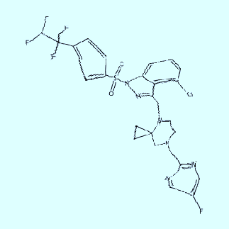 O=S(=O)(c1ccc(C(F)(F)C(F)F)cc1)n1nc(N2CCN(c3ncc(F)cn3)CC23CC3)c2c(Cl)cccc21